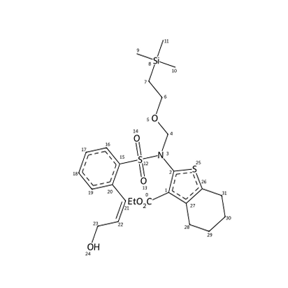 CCOC(=O)c1c(N(COCC[Si](C)(C)C)S(=O)(=O)c2ccccc2/C=C\CO)sc2c1CCCC2